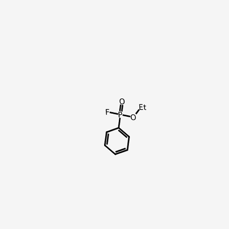 CCOP(=O)(F)c1ccccc1